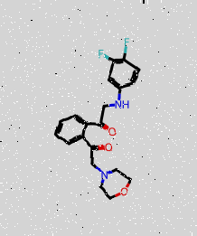 O=C(CNc1ccc(F)c(F)c1)c1ccccc1C(=O)CN1CCOCC1